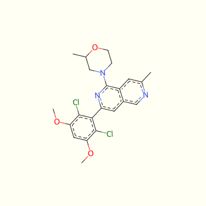 COc1cc(OC)c(Cl)c(-c2cc3cnc(C)cc3c(N3CCOC(C)C3)n2)c1Cl